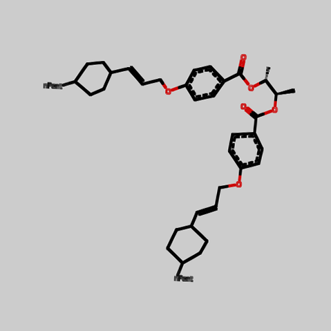 CCCCCC1CCC(/C=C/COc2ccc(C(=O)O[C@H](C)[C@@H](C)OC(=O)c3ccc(OC/C=C/C4CCC(CCCCC)CC4)cc3)cc2)CC1